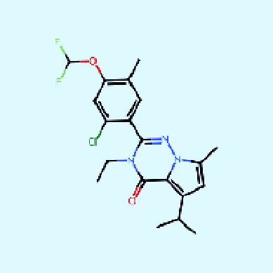 CCn1c(-c2cc(C)c(OC(F)F)cc2Cl)nn2c(C)cc(C(C)C)c2c1=O